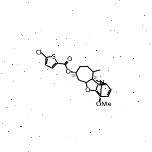 COc1ccc2c3c1OC1C[C@@H](OC(=O)c4ccc(Cl)s4)CCC(C)[C@@]31CCN(C)C2